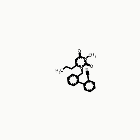 CCCc1cc(=O)n(C)c(=O)n1Cc1ccccc1-c1ccccc1C#N